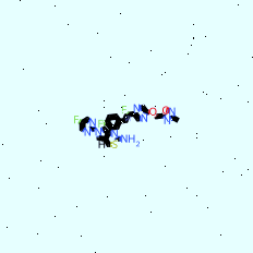 Cc1noc(COc2cnc(/C(F)=C/c3ccc(F)c([C@]45CN(c6ncc(F)cn6)C[C@H]4CSC(N)=N5)c3)cn2)n1